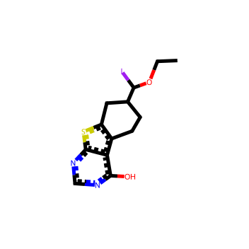 CCOC(I)C1CCc2c(sc3ncnc(O)c23)C1